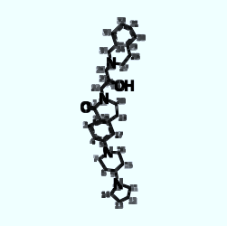 O=C1c2ccc(N3CCC(N4CCCC4)CC3)cc2CCN1C[C@H](O)CN1CCc2ccccc2C1